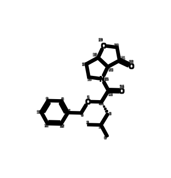 CC(C)C[C@H](OCc1ccccc1)C(=O)N1CCC2OCC(=O)C21